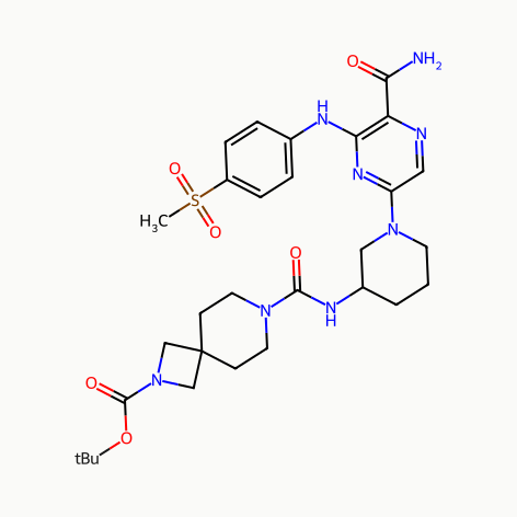 CC(C)(C)OC(=O)N1CC2(CCN(C(=O)NC3CCCN(c4cnc(C(N)=O)c(Nc5ccc(S(C)(=O)=O)cc5)n4)C3)CC2)C1